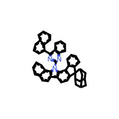 c1ccc2c(c1)-c1c(ccc3c4ccc5ccccc5c4n(-c4nc(-c5cccc6ccccc56)c5ccccc5n4)c13)C21C2CC3CC(C2)CC1C3